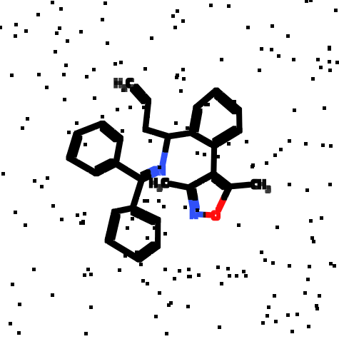 C=CCC(N=C(c1ccccc1)c1ccccc1)c1ccccc1-c1c(C)noc1C